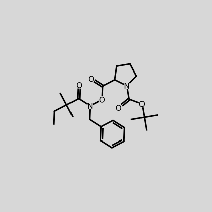 CCC(C)(C)C(=O)N(Cc1ccccc1)OC(=O)C1CCCN1C(=O)OC(C)(C)C